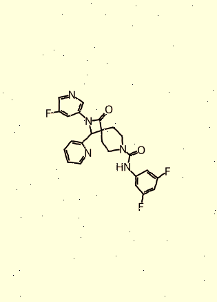 O=C(Nc1cc(F)cc(F)c1)N1CCC2(CC1)C(=O)N(c1cncc(F)c1)C2c1ccccn1